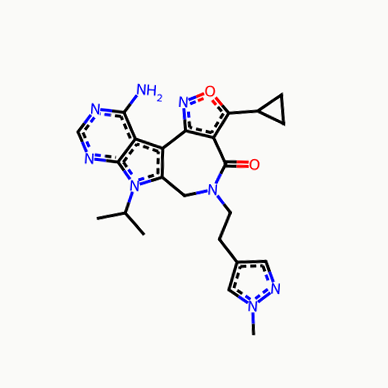 CC(C)n1c2c(c3c(N)ncnc31)-c1noc(C3CC3)c1C(=O)N(CCc1cnn(C)c1)C2